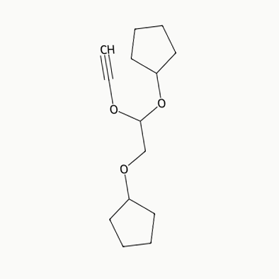 C#COC(COC1CCCC1)OC1CCCC1